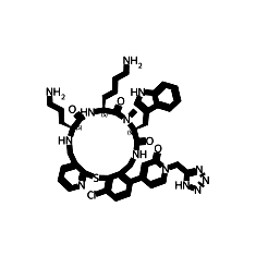 CN1C(=O)[C@H](CCCCN)NC(=O)[C@H](CCCN)NCc2cccnc2Sc2c(Cl)ccc(-c3ccn(Cc4nnn[nH]4)c(=O)c3)c2CNC(=O)[C@@H]1Cc1c[nH]c2ccccc12